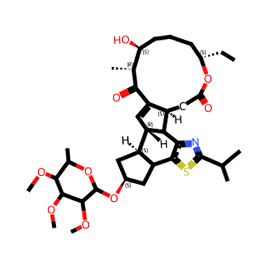 CC[C@H]1CCC[C@H](O)[C@@H](C)C(=O)C2=C[C@@H]3C(c4nc(C(C)C)sc4C4C[C@@H](OC5OC(C)C(OC)C(OC)C5OC)C[C@H]43)[C@@H]2CC(=O)O1